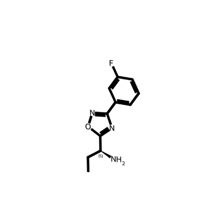 CC[C@H](N)c1nc(-c2cccc(F)c2)no1